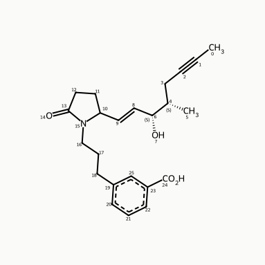 CC#CC[C@H](C)[C@H](O)C=CC1CCC(=O)N1CCCc1cccc(C(=O)O)c1